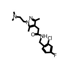 Cc1nn(CCN(C)C)c(C)c1CC(=O)NCc1ccc(F)cc1Cl